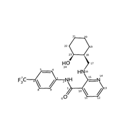 O=C(Nc1ccc(C(F)(F)F)cc1)c1cccnc1NC[C@@H]1CCCC[C@@H]1O